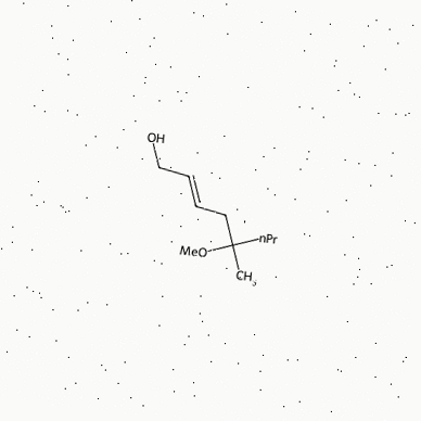 CCCC(C)(C/C=C/CO)OC